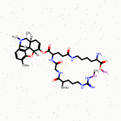 COc1ccc2c3c1O[C@H]1C(OC(=O)C(CCC(=O)NCCCCC(N)C(=O)OP)NC(=O)CNC(=O)C(CCCNC(=N)NPC)NC(C)=O)=CC[C@H]4[C@@H](C)N(C)C2C[C@]314